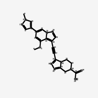 COc1cc(-c2cnn(C)c2)cn2ncc(C#Cc3nnc4n3CCN(C(=O)O)C4)c12